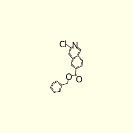 O=C(OCc1ccccc1)c1ccc2cnc(Cl)cc2c1